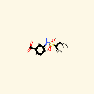 CCC(C)S(=O)(=O)Nc1cccc(C(=O)O)c1